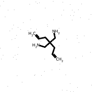 C=CCC(CN)(CN)CC=C